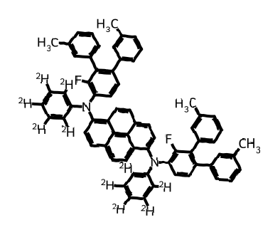 [2H]c1c([2H])c([2H])c(N(c2ccc(-c3cccc(C)c3)c(-c3cccc(C)c3)c2F)c2ccc3ccc4c(N(c5ccc(-c6cccc(C)c6)c(-c6cccc(C)c6)c5F)c5c([2H])c([2H])c([2H])c([2H])c5[2H])ccc5ccc2c3c54)c([2H])c1[2H]